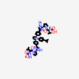 COC(=O)N[C@H](C(=O)N1CCC[C@H]1c1nc(-c2ccc([C@@H]3CC[C@@H](c4ccc(-c5c[nH]c([C@@H]6CCCN6C(=O)[C@H](C(C)C)N(C)C(=O)O)n5)cc4)N3c3ccc(C4CC4)cc3)cc2)c[nH]1)C(C)C